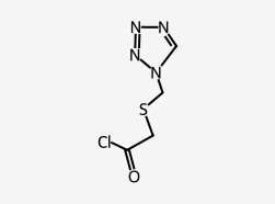 O=C(Cl)CSCn1cnnn1